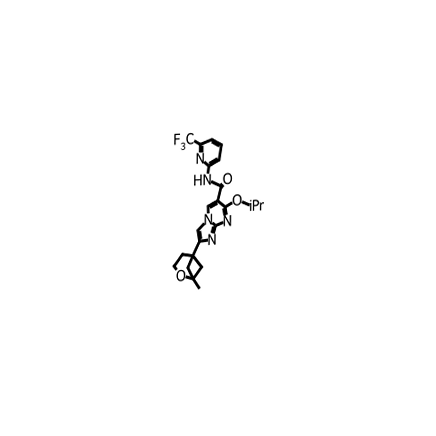 CC(C)Oc1nc2nc(C34CCOC(C)(C3)C4)cn2cc1C(=O)Nc1cccc(C(F)(F)F)n1